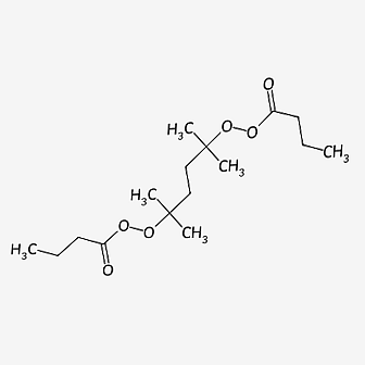 CCCC(=O)OOC(C)(C)CCC(C)(C)OOC(=O)CCC